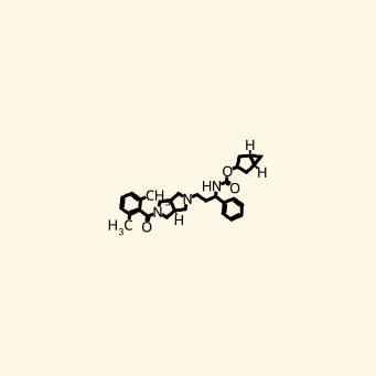 Cc1cccc(C)c1C(=O)N1CC2CN(CCC(NC(=O)OC3C[C@@H]4C[C@@H]4C3)c3ccccc3)C[C@H]2C1